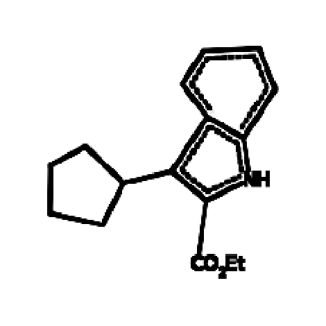 CCOC(=O)c1[nH]c2ccccc2c1C1CCCC1